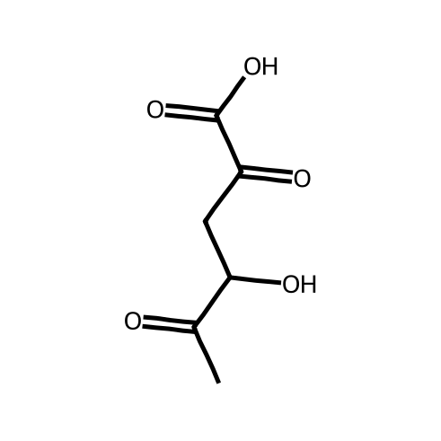 CC(=O)C(O)CC(=O)C(=O)O